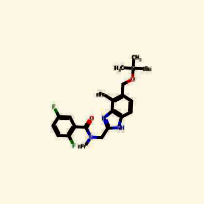 CCCc1c(CO[Si](C)(C)C(C)(C)C)ccc2[nH]c(CN(CCC)C(=O)c3cc(F)ccc3F)nc12